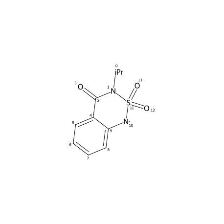 CC(C)N1C(=O)c2ccccc2[N]S1(=O)=O